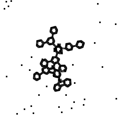 c1ccc(-c2ccc(-c3nc(-c4cc(-c5ccccc5)cc(-c5ccccc5)c4)nc(-c4cc(-c5ccccc5)c(-n5c6ccc(-c7ccccc7)cc6c6cc(-n7c8ccccc8c8ccccc87)ccc65)c(-c5ccccc5)c4)n3)cc2)cc1